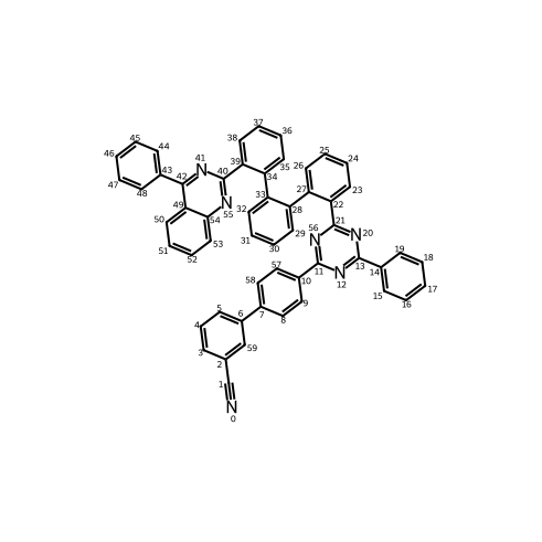 N#Cc1cccc(-c2ccc(-c3nc(-c4ccccc4)nc(-c4ccccc4-c4ccccc4-c4ccccc4-c4nc(-c5ccccc5)c5ccccc5n4)n3)cc2)c1